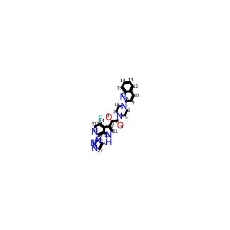 O=C(C(=O)N1CCN(c2ccc3ccccc3n2)CC1)c1c[nH]c2c(-n3ccnn3)ncc(F)c12